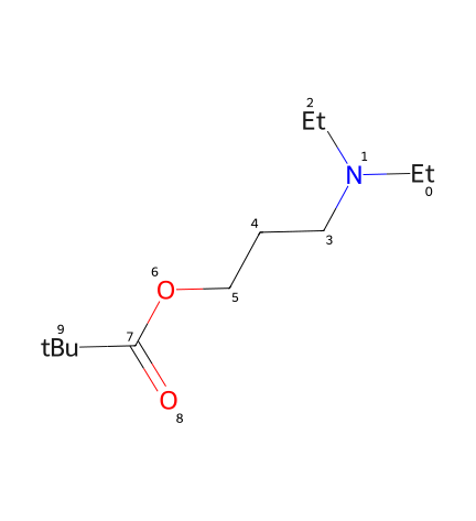 CCN(CC)CCCOC(=O)C(C)(C)C